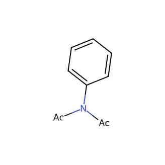 CC(=O)N(C(C)=O)c1ccccc1